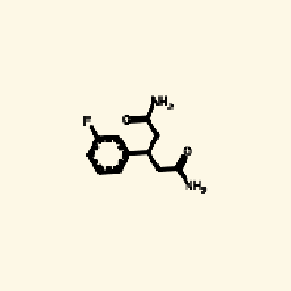 NC(=O)CC(CC(N)=O)c1cccc(F)c1